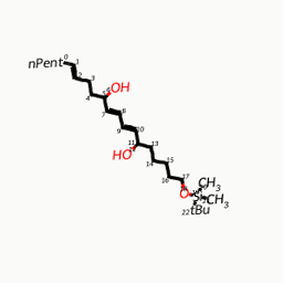 CCCCCC=CCCC(O)C=CC=CC(O)CCCCCO[Si](C)(C)C(C)(C)C